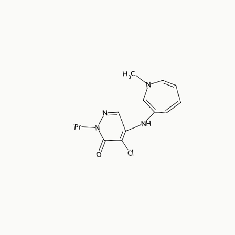 CC(C)n1ncc(NC2=CN(C)C=CC=C2)c(Cl)c1=O